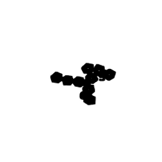 c1ccc(-c2ccc(-c3ccc(N(c4ccc(-c5cccc6c5sc5ccccc56)c(-c5ccccc5)c4)c4ccc5c(c4)oc4ccccc45)cc3)cc2)cc1